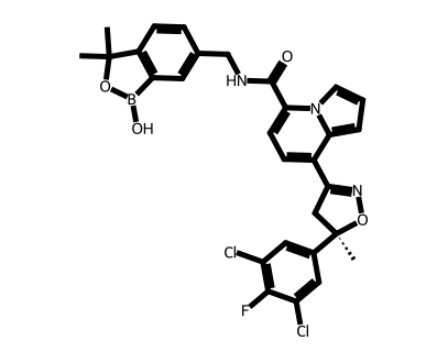 CC1(C)OB(O)c2cc(CNC(=O)c3ccc(C4=NO[C@@](C)(c5cc(Cl)c(F)c(Cl)c5)C4)c4cccn34)ccc21